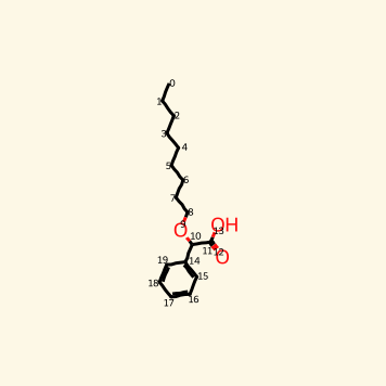 CCCCCCCCCOC(C(=O)O)c1ccccc1